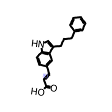 O=C(O)/C=C/c1ccc2[nH]cc(CCCc3ccccc3)c2c1